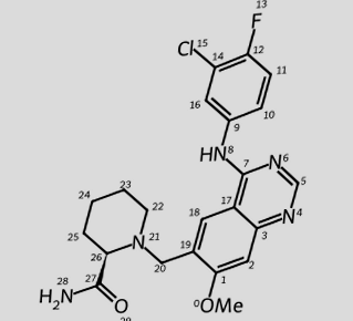 COc1cc2ncnc(Nc3ccc(F)c(Cl)c3)c2cc1CN1CCCC[C@@H]1C(N)=O